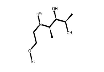 CCCN(CCOCC)[C@H](C)[C@@H](O)[C@@H](C)O